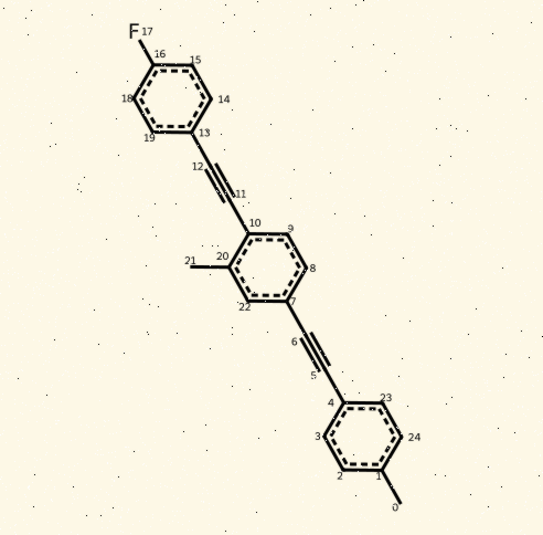 Cc1ccc(C#Cc2ccc(C#Cc3ccc(F)cc3)c(C)c2)cc1